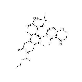 C=C1Cc2c(C)c([C@H](OC(C)(C)C)C(=O)O)c(-c3ccc4c(c3C)NCCO4)c(C)c2CN1C(C)CCC